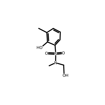 Cc1cccc(S(=O)(=O)N(C)CO)c1O